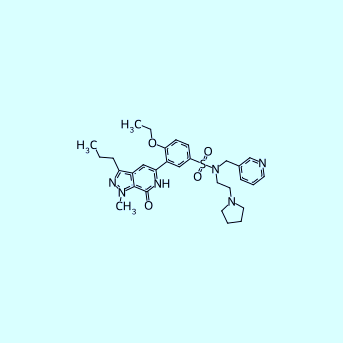 CCCc1nn(C)c2c(=O)[nH]c(-c3cc(S(=O)(=O)N(CCN4CCCC4)Cc4cccnc4)ccc3OCC)cc12